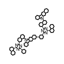 c1ccc(-c2nc(-c3ccc4cccc(-n5c6ccccc6c6cc7cc(-c8cccc(-c9nc(-c%10cccc%11ccccc%10%11)nc(-c%10cccc%11c(-n%12c%13ccccc%13c%13cc%14ccccc%14cc%13%12)cccc%10%11)n9)c8)ccc7cc65)c4c3)nc(-c3cccc4ccccc34)n2)cc1